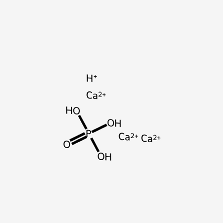 O=P(O)(O)O.[Ca+2].[Ca+2].[Ca+2].[H+]